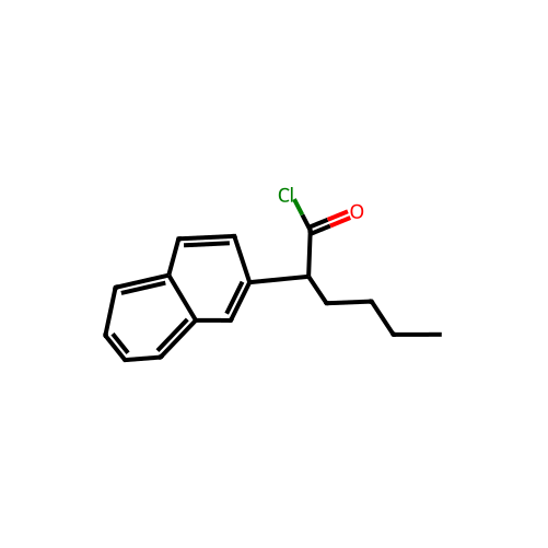 CCCCC(C(=O)Cl)c1ccc2ccccc2c1